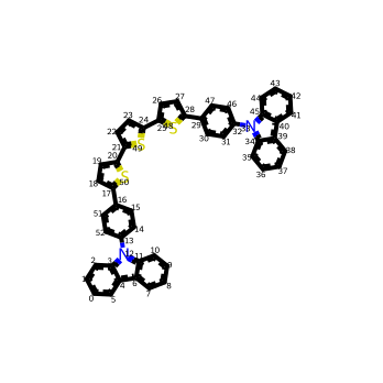 c1ccc2c(c1)c1ccccc1n2-c1ccc(-c2ccc(-c3ccc(-c4ccc(-c5ccc(-n6c7ccccc7c7ccccc76)cc5)s4)s3)s2)cc1